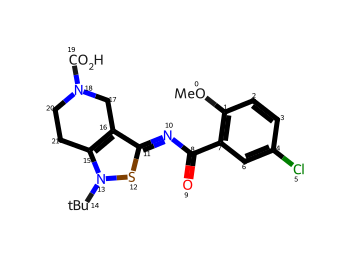 COc1ccc(Cl)cc1C(=O)N=c1sn(C(C)(C)C)c2c1CN(C(=O)O)CC2